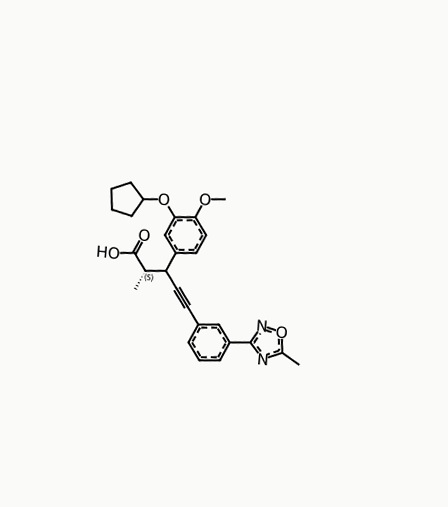 COc1ccc(C(C#Cc2cccc(-c3noc(C)n3)c2)[C@H](C)C(=O)O)cc1OC1CCCC1